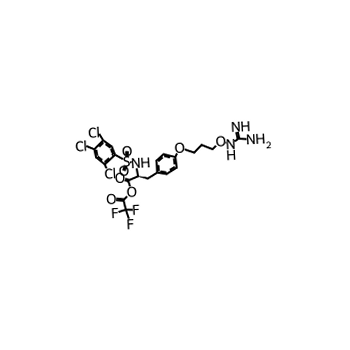 N=C(N)NOCCCOc1ccc(C[C@H](NS(=O)(=O)c2cc(Cl)c(Cl)cc2Cl)C(=O)OC(=O)C(F)(F)F)cc1